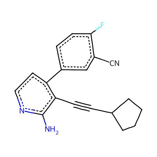 N#Cc1cc(-c2ccnc(N)c2C#CC2CCCC2)ccc1F